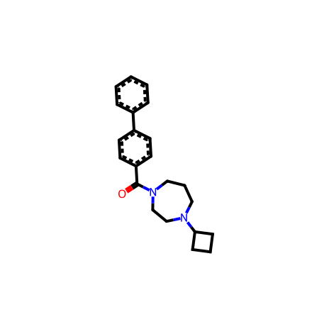 O=C(c1ccc(-c2ccccc2)cc1)N1CCCN(C2CCC2)CC1